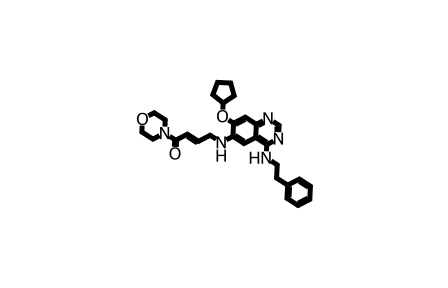 O=C(C=CCNc1cc2c(NCCc3ccccc3)ncnc2cc1OC1CCCC1)N1CCOCC1